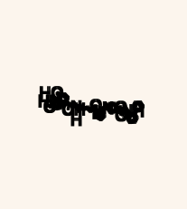 O=C(Nc1ccccc1-c1ccccc1)OC1CCN(C[C@@H]2CCCN2C(=O)CCCCNC[C@@H](O)c2ccc(O)c3[nH]c(=O)ccc23)CC1